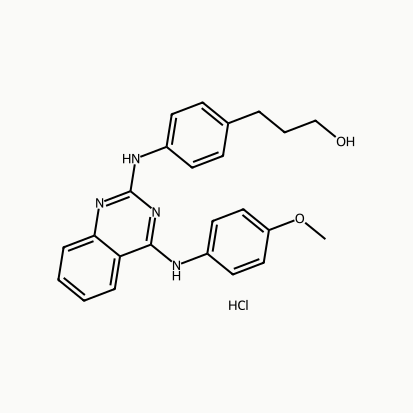 COc1ccc(Nc2nc(Nc3ccc(CCCO)cc3)nc3ccccc23)cc1.Cl